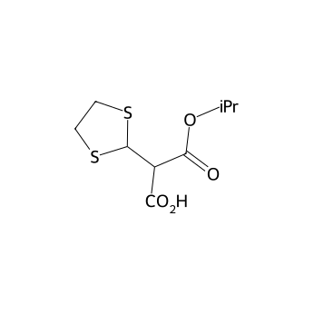 CC(C)OC(=O)C(C(=O)O)C1SCCS1